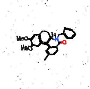 COc1cc2c(cc1OC)C1c3cc(C)ccc3C(=O)N(Cc3ccccc3)[C@@H]1CC2